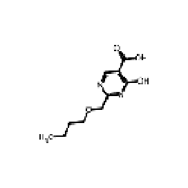 CCCCOCc1ncc(C(=O)O)c(O)n1